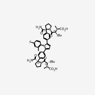 Cc1cc(F)ccc1-n1c(-c2ccc([C@]3(C(N)=O)CCCN3C(=O)[C@@H](N(C)C(=O)O)C(C)(C)C)cc2)ccc1-c1ccc([C@]2(C(N)=O)CCCN2C(=O)[C@@H](N(C)C(=O)O)C(C)(C)C)cc1